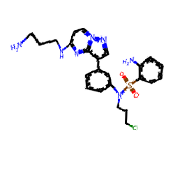 NCCCNc1ccn2ncc(-c3cccc(N(CCCCl)S(=O)(=O)c4ccccc4N)c3)c2n1